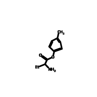 CCC(N)C(=O)Oc1ccc(C)cc1